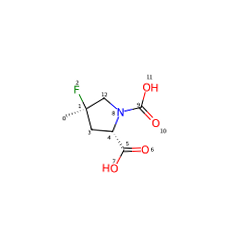 C[C@@]1(F)C[C@@H](C(=O)O)N(C(=O)O)C1